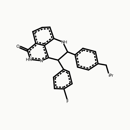 CC(C)Cc1ccc(C2Nc3cccc4c(=O)[nH]nc(c34)C2c2ccc(F)cc2)cc1